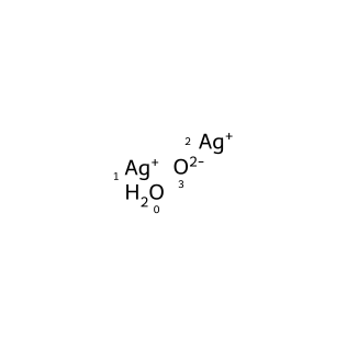 O.[Ag+].[Ag+].[O-2]